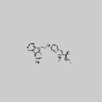 CCOC(=O)[C@H](Cc1ccc(OCCn2c3ccccc3c3cc(Br)ccc32)cc1)OCC